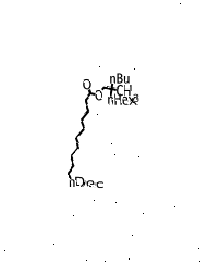 CCCCCCCCCCCCCCCCCCCC(=O)OCC(C)(CCCC)CCCCCC